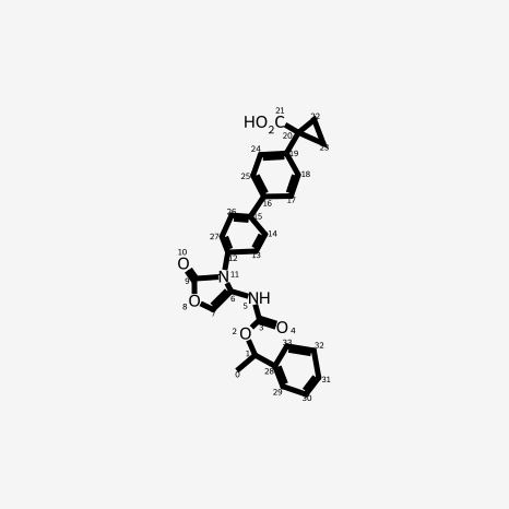 CC(OC(=O)Nc1coc(=O)n1-c1ccc(-c2ccc(C3(C(=O)O)CC3)cc2)cc1)c1ccccc1